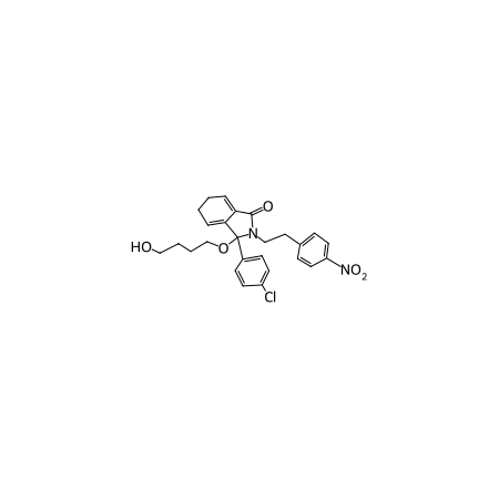 O=C1C2=CCCC=C2C(OCCCCO)(c2ccc(Cl)cc2)N1CCc1ccc([N+](=O)[O-])cc1